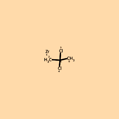 CC(C)(Cl)Cl.[Zr]